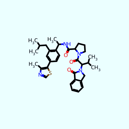 Cc1ncsc1-c1ccc(C(C)NC(=O)C2CCCN2C(=O)C(C(C)C)N2Cc3ccccc3C2=O)c(CC(C)C)c1